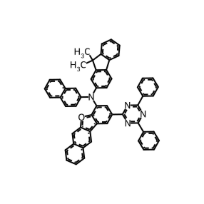 CC1(C)c2ccccc2-c2ccc(N(c3ccc4ccccc4c3)c3cc(-c4nc(-c5ccccc5)nc(-c5ccccc5)n4)cc4c3oc3cc5ccccc5cc34)cc21